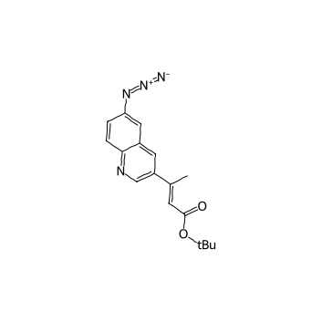 C/C(=C\C(=O)OC(C)(C)C)c1cnc2ccc(N=[N+]=[N-])cc2c1